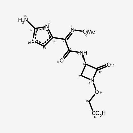 CON=C(C(=O)N[C@@H]1CN(OCC(=O)O)C1=O)c1csc(N)n1